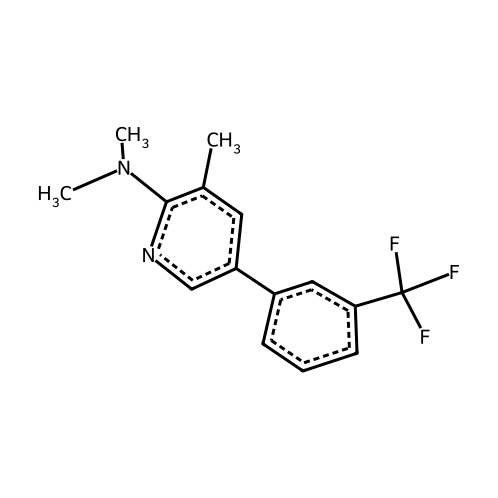 Cc1cc(-c2cccc(C(F)(F)F)c2)cnc1N(C)C